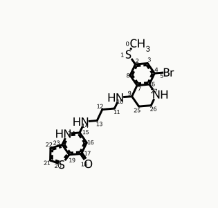 CSc1cc(Br)c2c(c1)C(NCCCNc1cc(=O)c3sccc3[nH]1)CCN2